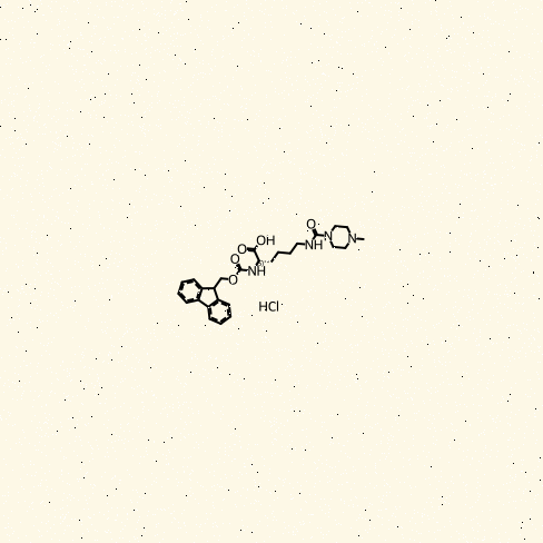 CN1CCN(C(=O)NCCCC[C@H](NC(=O)OCC2c3ccccc3-c3ccccc32)C(=O)O)CC1.Cl